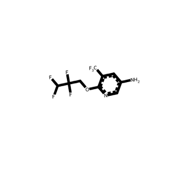 Nc1cnc(OCC(F)(F)C(F)F)c(C(F)(F)F)c1